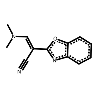 CN(C)/C=C(\C#N)c1nc2ccccc2o1